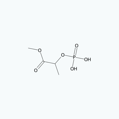 COC(=O)C(C)OP(=O)(O)O